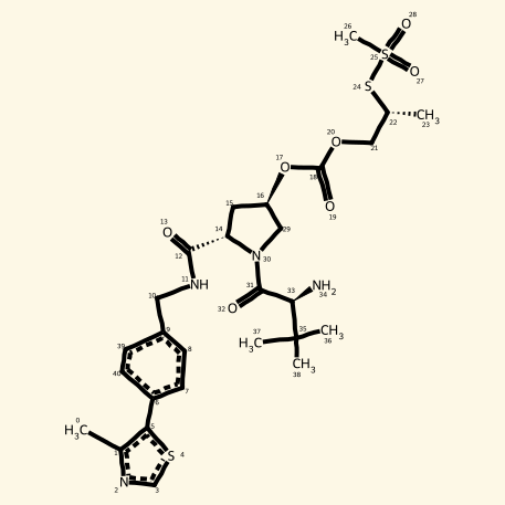 Cc1ncsc1-c1ccc(CNC(=O)[C@@H]2C[C@@H](OC(=O)OC[C@@H](C)SS(C)(=O)=O)CN2C(=O)[C@@H](N)C(C)(C)C)cc1